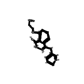 COCCOc1cccc2c(Cc3cccnc3)n[nH]c(=O)c12